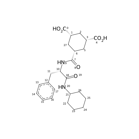 O=C(O)[C@@H]1C[C@H](C(=O)O)C[C@H](C(=O)N[C@@H](Cc2ccccc2)C(=O)NC2CCCCC2)C1